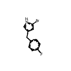 Fc1ccc(Cc2c[nH]c(Br)c2)cc1